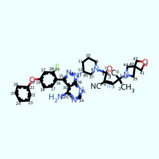 CC(C)(/C=C(/C#N)C(=O)N1CCC[C@@H](n2nc(-c3ccc(Oc4ccccc4)cc3F)c3c(N)ncnc32)C1)N1CC2(COC2)C1